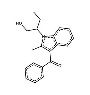 CCC(CO)n1c(C)c(C(=O)c2ccccc2)c2ccccc21